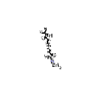 B/C=N/NC(=O)CCSSCCC(=O)NC(C)C